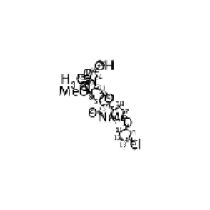 CNC(=O)c1c(-c2ccc(Oc3cccc(Cl)c3)cc2)oc2cc(N(CCO)S(C)(=O)=O)c(OC)cc12